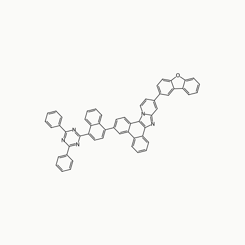 c1ccc(-c2nc(-c3ccccc3)nc(-c3ccc(-c4ccc5c(c4)c4ccccc4c4nc6cc(-c7ccc8oc9ccccc9c8c7)ccn6c54)c4ccccc34)n2)cc1